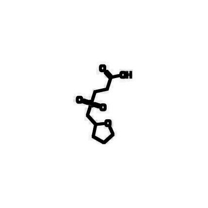 O=C(O)CCS(=O)(=O)CC1CCCO1